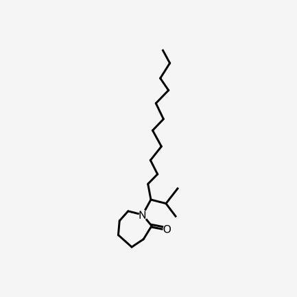 CCCCCCCCCCCC(C(C)C)N1CCCCCC1=O